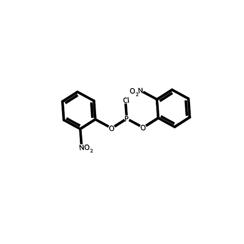 O=[N+]([O-])c1ccccc1OP(Cl)Oc1ccccc1[N+](=O)[O-]